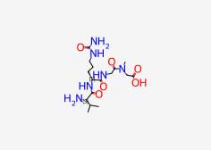 CC(C)[C@H](N)C(=O)N[C@@H](CCCNC(N)=O)C(=O)NCC(=O)N(C)CC(=O)O